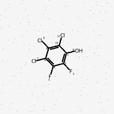 Oc1c(F)c(F)c(Cl)c(Cl)c1Cl